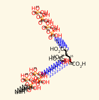 N.N.N.N.N.N.N.N.N.N.N.N.O=C(O)CCCCC(=O)O.O=C(O)O.O=C(O)O.O=P(O)(O)OP(=O)(O)O.O=P(O)(O)OP(=O)(O)O.O=P(O)(O)OP(=O)(O)O.O=P(O)(O)OP(=O)(O)O.[NaH].[NaH].[NaH].[NaH]